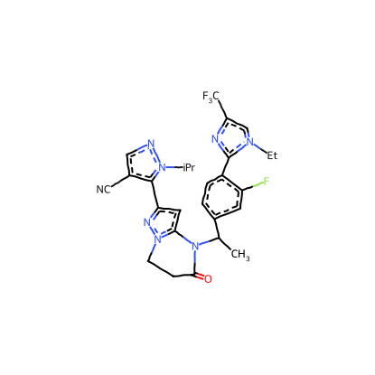 CCn1cc(C(F)(F)F)nc1-c1ccc(C(C)N2C(=O)CCn3nc(-c4c(C#N)cnn4C(C)C)cc32)cc1F